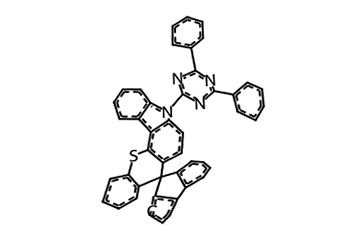 c1ccc(-c2nc(-c3ccccc3)nc(-n3c4ccccc4c4c5c(ccc43)C3(c4ccccc4S5)c4ccccc4-c4ccccc43)n2)cc1